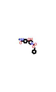 CNC(=O)c1ccc(C2(O)CCN(C(=O)OCc3ccccc3)CC2)cc1